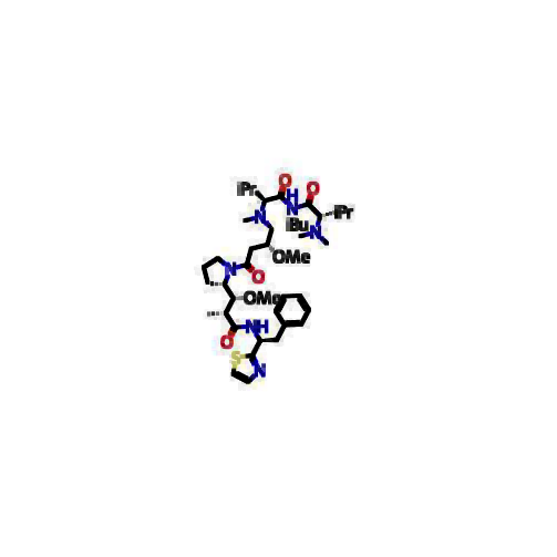 CC[C@H](C)[C@@H]([C@@H](CC(=O)N1CCC[C@H]1[C@H](OC)[C@@H](C)C(=O)N[C@@H](Cc1ccccc1)c1nccs1)OC)N(C)[C@H](C(=O)NC(=O)[C@H](C(C)C)N(C)C)C(C)C